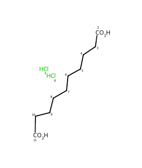 Cl.Cl.O=C(O)CCCCCCCCC(=O)O